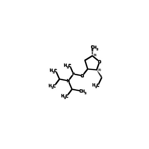 CC[C@H]1O[C@@H](C)CC1OP(C)N(C(C)C)C(C)C